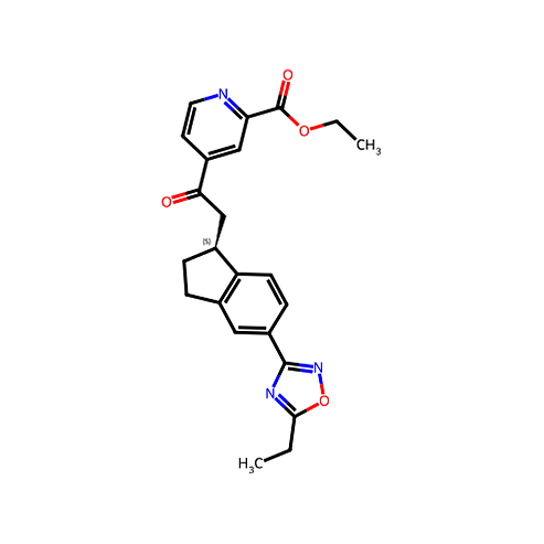 CCOC(=O)c1cc(C(=O)C[C@@H]2CCc3cc(-c4noc(CC)n4)ccc32)ccn1